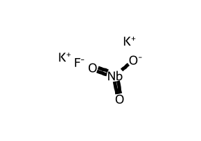 [F-].[K+].[K+].[O]=[Nb](=[O])[O-]